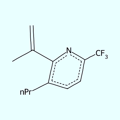 C=C(C)c1nc(C(F)(F)F)ccc1CCC